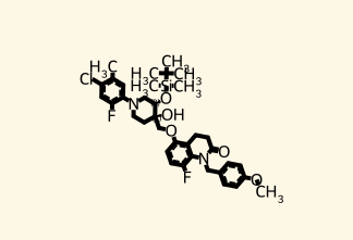 COc1ccc(CN2C(=O)CCc3c(OC[C@]4(O)CCN(c5cc(C)c(Cl)cc5F)C[C@H]4O[Si](C)(C)C(C)(C)C)ccc(F)c32)cc1